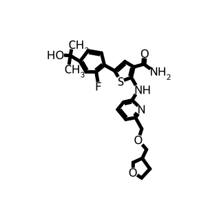 CC(C)(O)c1ccc(-c2cc(C(N)=O)c(Nc3cccc(COCC4CCOC4)n3)s2)c(F)c1